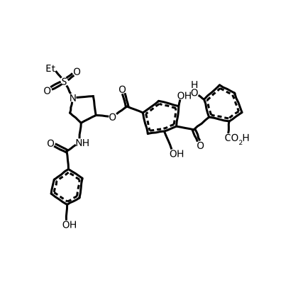 CCS(=O)(=O)N1CC(NC(=O)c2ccc(O)cc2)C(OC(=O)c2cc(O)c(C(=O)c3c(O)cccc3C(=O)O)c(O)c2)C1